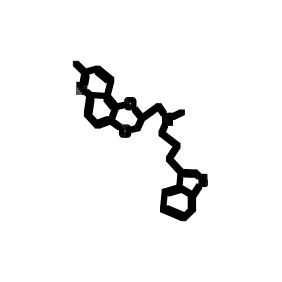 Cc1ccc2c3c(ccc2n1)OCC(CN(C)CCCc1csc2ccccc12)O3